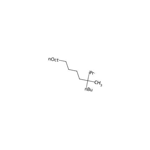 CCCCCCCCCCCCC(C)(CCCC)[C](C)C